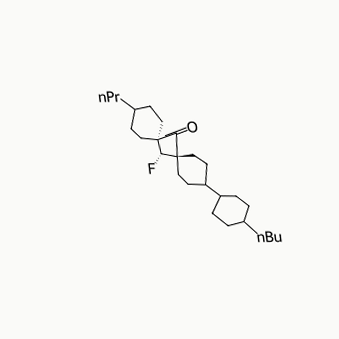 CCCCC1CCC(C2CC[C@]3(CC2)C(=O)[C@@]2(CCC(CCC)CC2)[C@H]3F)CC1